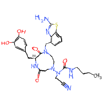 CCCCNC(=O)N(CC#N)N1CCN(Cc2cccc3sc(N)nc23)C(=O)[C@H](Cc2ccc(O)c(O)c2)NC(=O)C1